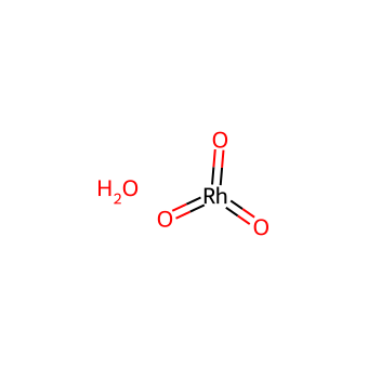 O.[O]=[Rh](=[O])=[O]